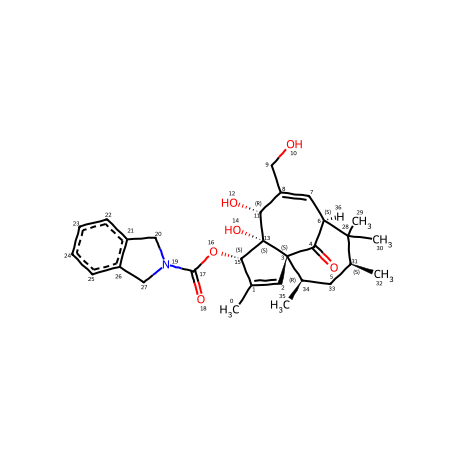 CC1=C[C@]23C(=O)[C@@H](C=C(CO)[C@@H](O)[C@]2(O)[C@H]1OC(=O)N1Cc2ccccc2C1)C(C)(C)[C@@H](C)C[C@H]3C